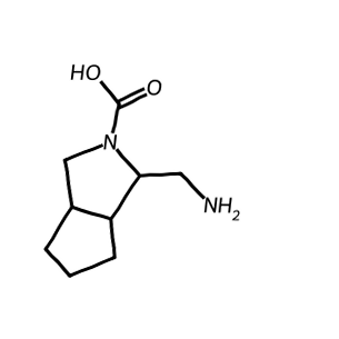 NCC1C2CCCC2CN1C(=O)O